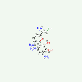 N[C@@H]1C[C@H](N)C([C@H]2O[C@H]([C@H](N)CF)CC[C@H]2N)[C@H](O)[C@H]1O